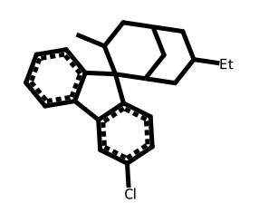 CCC1CC2CC(C)C3(c4ccccc4-c4cc(Cl)ccc43)C(C1)C2